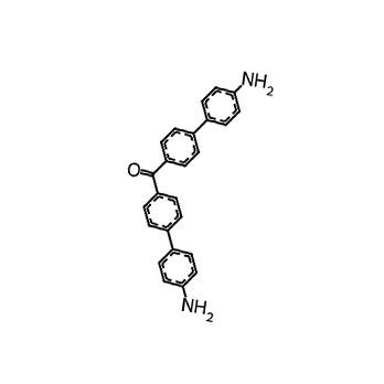 Nc1ccc(-c2ccc(C(=O)c3ccc(-c4ccc(N)cc4)cc3)cc2)cc1